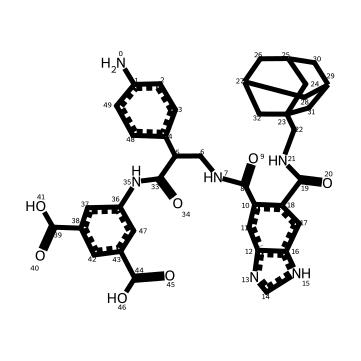 Nc1ccc(C(CNC(=O)c2cc3nc[nH]c3cc2C(=O)NCC23CC4CC(CC(C4)C2)C3)C(=O)Nc2cc(C(=O)O)cc(C(=O)O)c2)cc1